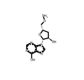 Oc1ncnc2c1ncn2[C@@H]1O[C@H](CO[SiH3])C[C@H]1O